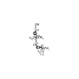 CCC(CC)(OCCO)C(=O)c1cccc(C(=O)OCCOC(CC)(CC)C(=O)c2cccc(C(=O)OCCO)c2)c1